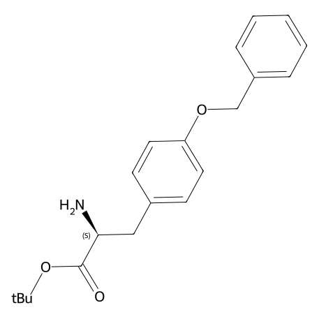 CC(C)(C)OC(=O)[C@@H](N)Cc1ccc(OCc2ccccc2)cc1